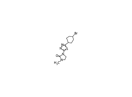 CN1CCN(c2nnc(C3CCC(Br)CC3)s2)C1=O